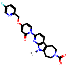 Cn1c2c(c3ccc(-n4ccc(OCc5ccc(F)cn5)cc4=O)nc31)CCN(C(=O)O)CC2